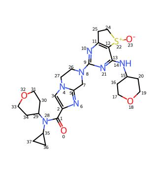 O=C(c1cn2c(n1)CN(c1nc3c(c(NC4CCOCC4)n1)[S+]([O-])CC3)CC2)N(C1CCOCC1)C1CC1